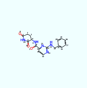 O=C1CCC(NC(=O)c2ccnc(NCc3ccccc3)n2)C(=O)N1